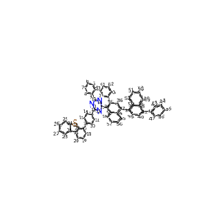 c1ccc(-c2ccccc2-c2nc(-c3ccc(-c4cccc5c4sc4ccccc45)cc3)nc(-c3ccc(-c4ccc(-c5ccccc5)c5ccccc45)c4ccccc34)n2)cc1